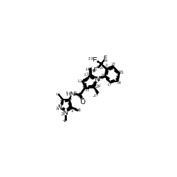 Cc1nn(C)c(C)c1NC(=O)c1cc(C)n(-c2ccccc2C(F)(F)F)c1C